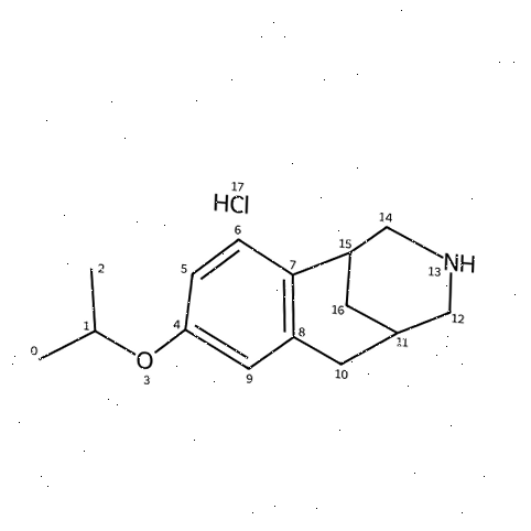 CC(C)Oc1ccc2c(c1)CC1CNCC2C1.Cl